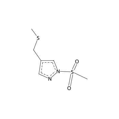 CSCc1cnn(S(C)(=O)=O)c1